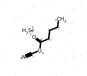 CCCCC(=O)OC#N.[SeH2]